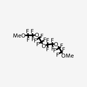 COC(F)(F)C(F)(F)OC(F)(F)C(F)(F)OC(F)(F)C(F)(F)OC(F)(F)C(F)(F)OC